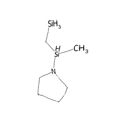 C[SiH](C[SiH3])N1CCCC1